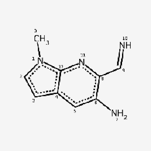 Cn1ccc2cc(N)c(C=N)nc21